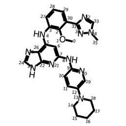 COc1c(Nc2cc(Nc3ccc(N4CCCCC4)cn3)nc3[nH]cnc23)cccc1-c1ncn(C)n1